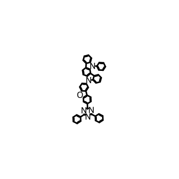 c1ccc(-c2nc(-c3ccccc3)nc(-c3ccc4c(c3)oc3ccc(-n5c6ccccc6c6c5ccc5c7ccccc7n(-c7ccccc7)c56)cc34)n2)cc1